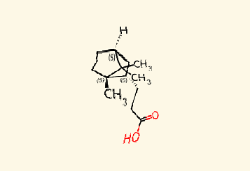 CC1(C)[C@H]2CC[C@@]1(C)[C@@H](CCC(=O)O)C2